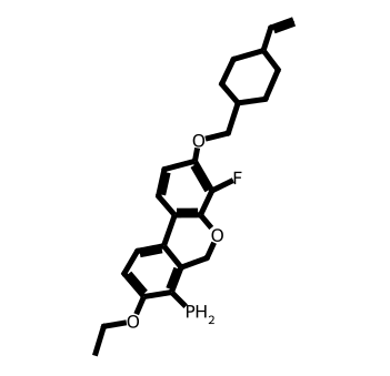 C=CC1CCC(COc2ccc3c(c2F)OCc2c-3ccc(OCC)c2P)CC1